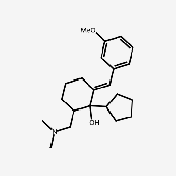 COc1cccc(C=C2CCCC(CN(C)C)C2(O)C2CCCC2)c1